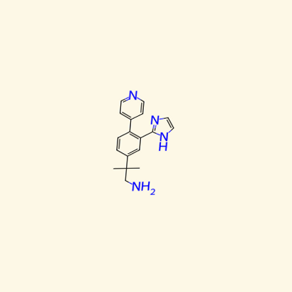 CC(C)(CN)c1ccc(-c2ccncc2)c(-c2ncc[nH]2)c1